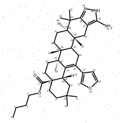 CCCCOC(=O)[C@]12CCC(C)(C)C[C@H]1C1=C(c3ccoc3)CC3[C@@]4(C)Cc5c(n[nH]c5N)C(C)(C)[C@@H]4CC[C@@]3(C)[C@]1(C)CC2